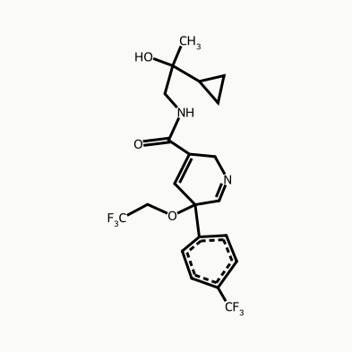 CC(O)(CNC(=O)C1=CC(OCC(F)(F)F)(c2ccc(C(F)(F)F)cc2)C=NC1)C1CC1